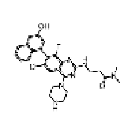 CN(C)C(=O)CCNc1nc(N2CCNCC2)c2cc(Cl)c(-c3cc(O)cc4ccccc34)c(F)c2n1